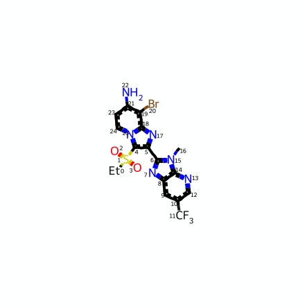 CCS(=O)(=O)c1c(-c2nc3cc(C(F)(F)F)cnc3n2C)nc2c(Br)c(N)ccn12